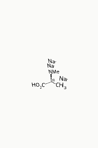 CN[C@@H](C)C(=O)O.[Na].[Na].[Na]